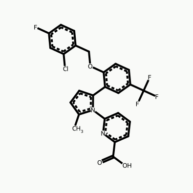 Cc1ccc(-c2cc(C(F)(F)F)ccc2OCc2ccc(F)cc2Cl)n1-c1cccc(C(=O)O)n1